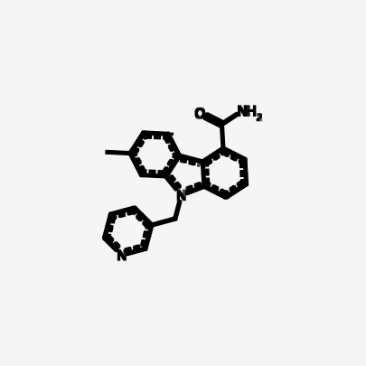 Cc1c[c]c2c3c(C(N)=O)cccc3n(Cc3cccnc3)c2c1